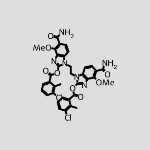 COc1c(C(N)=O)ccc2c1nc(OC(=O)c1cccc(Cl)c1C)n2CCn1c(OC(=O)c2cccc(Cl)c2C)nc2c(OC)c(C(N)=O)ccc21